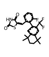 Cc1cccc(/C=C2/SC(=O)NC2=O)c1-c1cc2c(cc1C(F)(F)F)C(C)(C)CCC2(C)C